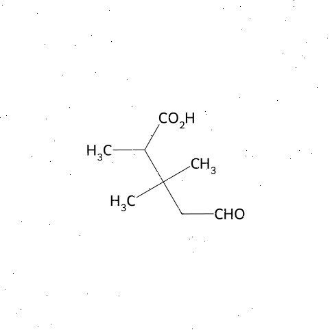 CC(C(=O)O)C(C)(C)CC=O